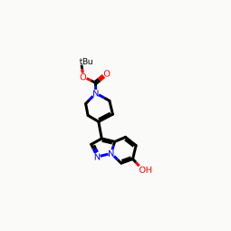 CC(C)(C)OC(=O)N1CC=C(c2cnn3cc(O)ccc23)CC1